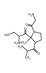 CC(N)C(=O)C1CCN(C(=O)CN)C1(C(=O)O)C(=O)C(N)CO